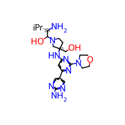 CC(C)[C@H](N)C(O)N1CC[C@](CO)(Nc2cc(-c3cnc(N)nc3)nc(N3CCOCC3)n2)C1